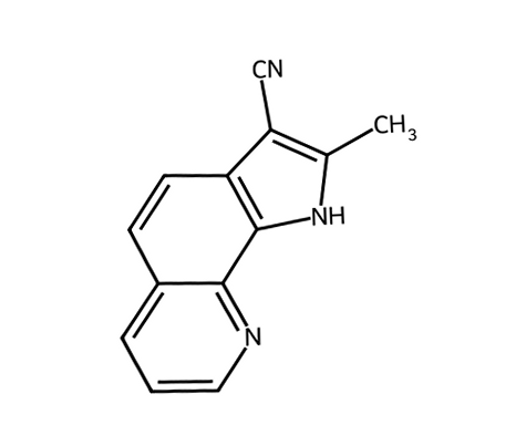 Cc1[nH]c2c(ccc3cccnc32)c1C#N